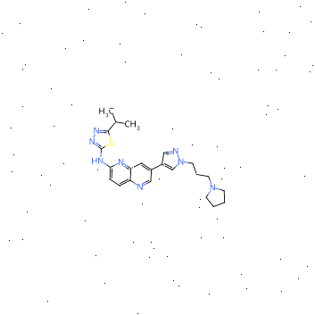 CC(C)c1nnc(Nc2ccc3ncc(-c4cnn(CCCN5CCCC5)c4)cc3n2)s1